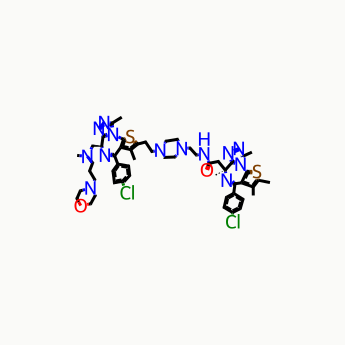 Cc1sc2c(c1C)C(c1ccc(Cl)cc1)=N[C@@](C)(CC(=O)NCCN1CCN(CCc3sc4c(c3C)C(c3ccc(Cl)cc3)=N[C@@H](CN(C)CCCN3CCOCC3)c3nnc(C)n3-4)CC1)c1nnc(C)n1-2